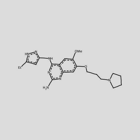 CCc1cc(Nc2nc(N)nc3cc(OCCCN4CCCC4)c(OC)cc23)n[nH]1